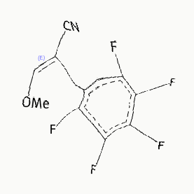 CO/C=C(/C#N)c1c(F)c(F)c(F)c(F)c1F